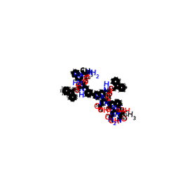 CC(NC(=O)C(Cc1ccccc1)NC(=O)C(Cc1cccc(-c2cccc(CC(NC(=O)OCC3c4ccccc4-c4ccccc43)C(=O)NC(CCC(=O)O)C(=O)NC(Cc3ccccc3)C(=O)NC(CCC(=O)O)C(=O)NC(C(N)=O)C(C)O)c2)c1)NC(=O)OCC1c2ccccc2-c2ccccc21)C(N)=O